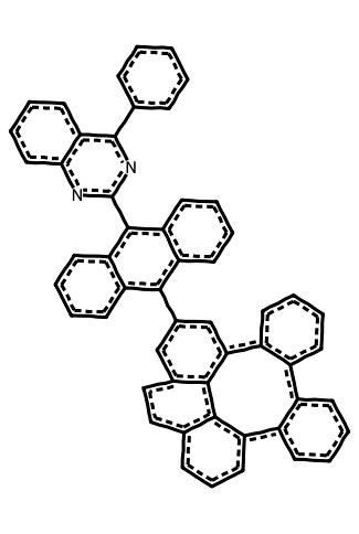 c1ccc(-c2nc(-c3c4ccccc4c(-c4cc5ccc6cccc7c8ccccc8c8ccccc8c(c4)c5c67)c4ccccc34)nc3ccccc23)cc1